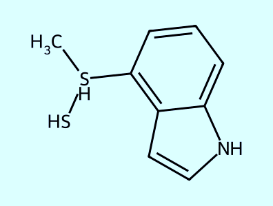 C[SH](S)c1cccc2[nH]ccc12